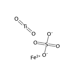 O=S(=O)([O-])[O-].[Fe+2].[O]=[Ti]=[O]